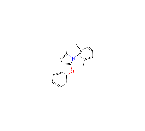 Cc1cccc(C)c1-n1c(C)cc2c3ccccc3oc21